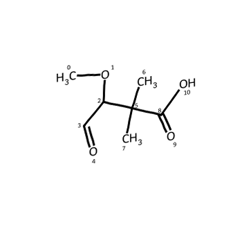 COC(C=O)C(C)(C)C(=O)O